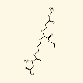 CCOC(=O)CCNC(CCCCOC(=O)[C@@H](N)CC(=O)O)C(=O)OCC